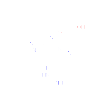 CCn1ncc(CN(C)C(=O)c2nc(-c3cc(C)c4c(N)[nH]nc4c3)nc3ccc(O)cc23)c1C